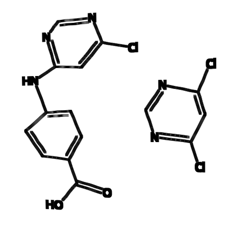 Clc1cc(Cl)ncn1.O=C(O)c1ccc(Nc2cc(Cl)ncn2)cc1